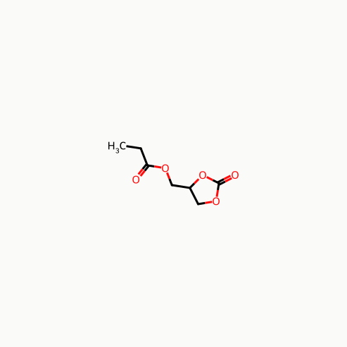 CCC(=O)OCC1COC(=O)O1